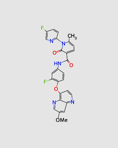 COc1cnc2c(Oc3ccc(NC(=O)c4ccc(C)n(-c5ccc(F)cn5)c4=O)cc3F)ccnc2c1